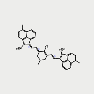 CCCCn1/c(=C/C=C2\CC(C)CC(/C=C/C3=[N+](CCCC)C4=CCC(C)c5cccc3c54)=C2Cl)c2cccc3c(C)ccc1c32